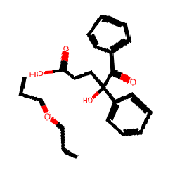 CCCOCCC.O=C(O)CCC(O)(C(=O)c1ccccc1)c1ccccc1